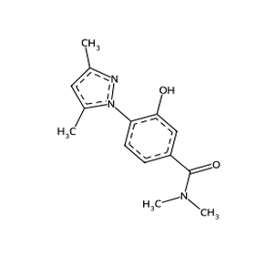 Cc1cc(C)n(-c2ccc(C(=O)N(C)C)cc2O)n1